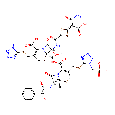 CO[C@@]1(NC(=O)C2SC(=C(C(N)=O)C(=O)O)S2)C(=O)N2C(C(=O)O)=C(CSc3nnnn3C)CS[C@@H]21.O=C(O)C1=C(CSc2nnnn2CS(=O)(=O)O)CS[C@@H]2[C@H](NC(=O)[C@H](O)c3ccccc3)C(=O)N12